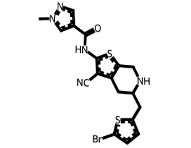 Cn1cc(C(=O)Nc2sc3c(c2C#N)CC(Cc2ccc(Br)s2)NC3)cn1